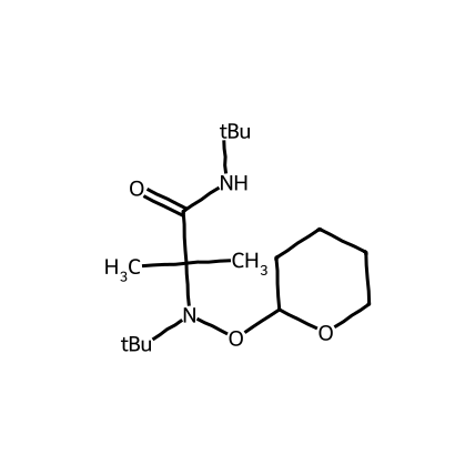 CC(C)(C)NC(=O)C(C)(C)N(OC1CCCCO1)C(C)(C)C